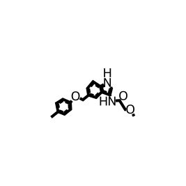 COCC(=O)Nc1c[nH]c2ccc(COc3ccc(C)cc3)cc12